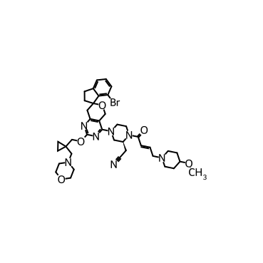 COC1CCN(C/C=C/C(=O)N2CCN(c3nc(OCC4(CN5CCOCC5)CC4)nc4c3COC3(CCc5cccc(Br)c53)C4)C[C@@H]2CC#N)CC1